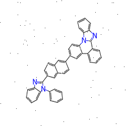 c1ccc(-n2c(-c3ccc4cc(-c5ccc6c(c5)c5ccccc5c5nc7ccccc7n65)ccc4c3)nc3ccccc32)cc1